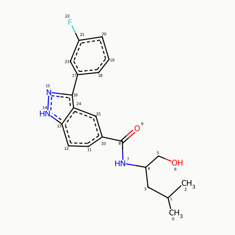 CC(C)CC(CO)NC(=O)c1ccc2[nH]nc(-c3cccc(F)c3)c2c1